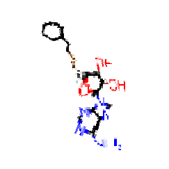 Nc1ncnc2c1ncn2[C@@H]1O[C@H](CSCCC2CCCCC2)[C@@H](O)[C@H]1O